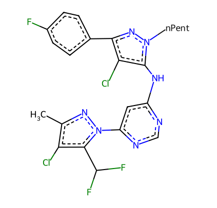 CCCCCn1nc(-c2ccc(F)cc2)c(Cl)c1Nc1cc(-n2nc(C)c(Cl)c2C(F)F)ncn1